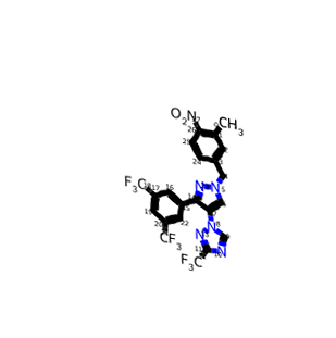 Cc1cc(Cn2cc(-n3cnc(C(F)(F)F)n3)c(-c3cc(C(F)(F)F)cc(C(F)(F)F)c3)n2)ccc1[N+](=O)[O-]